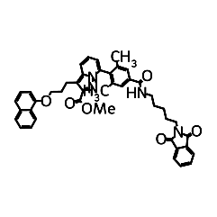 COC(=O)c1nn2c(-c3c(C)cc(C(=O)NCCCCCN4C(=O)c5ccccc5C4=O)cc3C)cccc2c1CCCOc1cccc2ccccc12